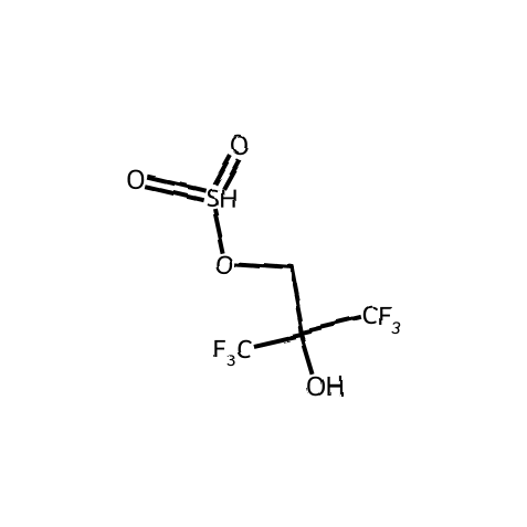 O=[SH](=O)OCC(O)(C(F)(F)F)C(F)(F)F